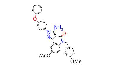 COc1ccc(Cn2c(=O)c3c(N)n(-c4ccc(Oc5ccccc5)cc4)nc3c3cc(OC)ccc32)cc1